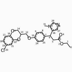 CCOC(=O)CC(c1ccc(OCC2COc3ccc(Cl)cc3O2)cc1)c1cncn1C